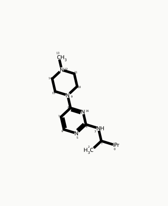 CC(C)C(C)Nc1nccc(N2CCN(C)CC2)n1